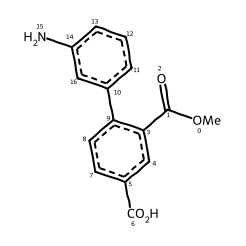 COC(=O)c1cc(C(=O)O)ccc1-c1cccc(N)c1